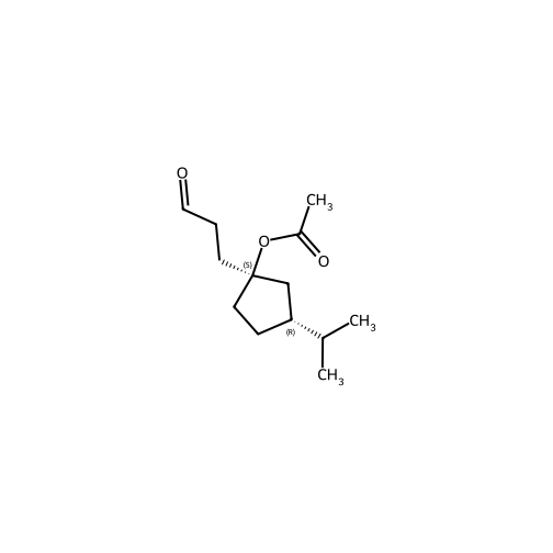 CC(=O)O[C@]1(CCC=O)CC[C@@H](C(C)C)C1